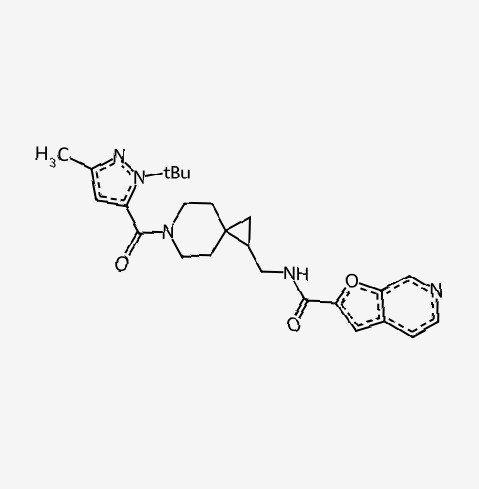 Cc1cc(C(=O)N2CCC3(CC2)CC3CNC(=O)c2cc3ccncc3o2)n(C(C)(C)C)n1